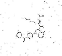 CCCCCC/C(=N\OC(C)=O)C(=O)C1CN(c2ccc(C(=O)c3ccccc3)cc2)C2=CC=CC(C)C21